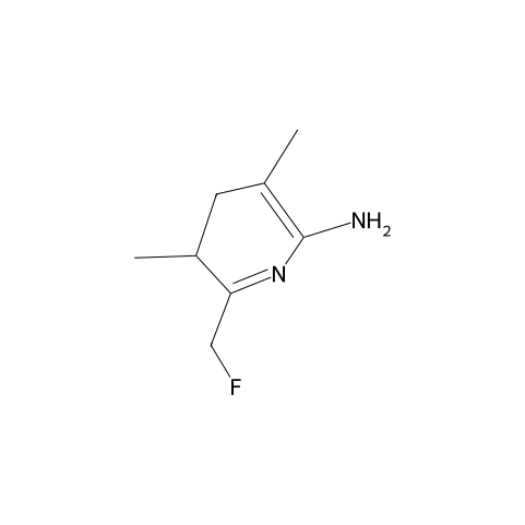 CC1=C(N)N=C(CF)C(C)C1